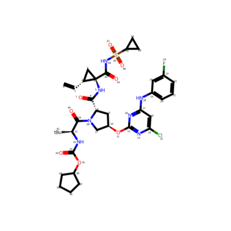 C=C[C@@H]1C[C@]1(NC(=O)[C@@H]1C[C@@H](Oc2nc(Cl)cc(Nc3cccc(F)c3)n2)CN1C(=O)[C@@H](NC(=O)OC1CCCC1)C(C)(C)C)C(=O)NS(=O)(=O)C1CC1